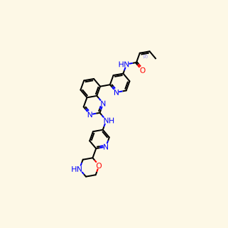 C/C=C\C(=O)Nc1ccnc(-c2cccc3cnc(Nc4ccc(C5CNCCO5)nc4)nc23)c1